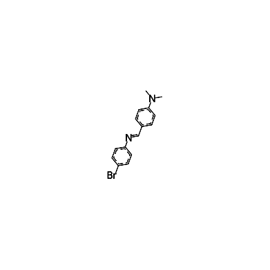 CN(C)c1ccc(/C=N/c2ccc(Br)cc2)cc1